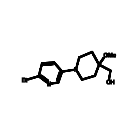 CCc1ccc(N2CCC(CO)(OC)CC2)cn1